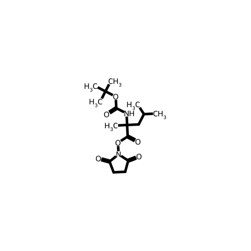 CC(C)CC(C)(NC(=O)OC(C)(C)C)C(=O)ON1C(=O)CCC1=O